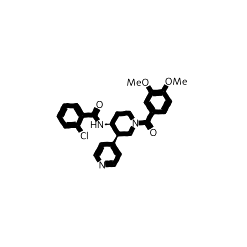 COc1ccc(C(=O)N2CC[C@@H](NC(=O)c3ccccc3Cl)[C@H](c3ccncc3)C2)cc1OC